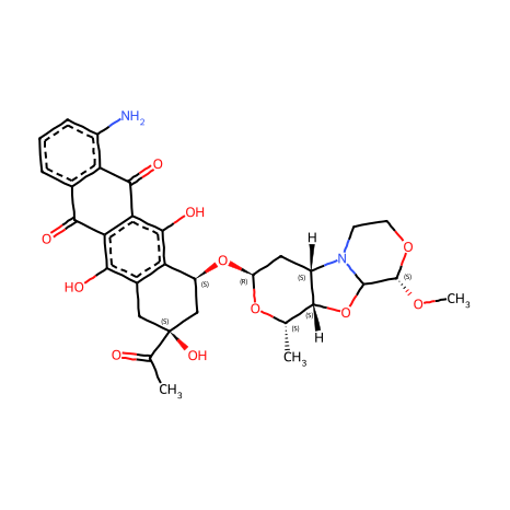 CO[C@H]1OCCN2C1O[C@@H]1[C@H](C)O[C@@H](O[C@H]3C[C@](O)(C(C)=O)Cc4c(O)c5c(c(O)c43)C(=O)c3c(N)cccc3C5=O)C[C@@H]12